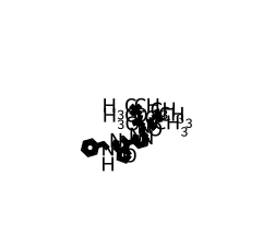 CC(C)(C)OC(=O)N(C(=O)OC(C)(C)C)c1nccc(-c2cnc(NCc3ccccc3)c3c2OCC3)n1